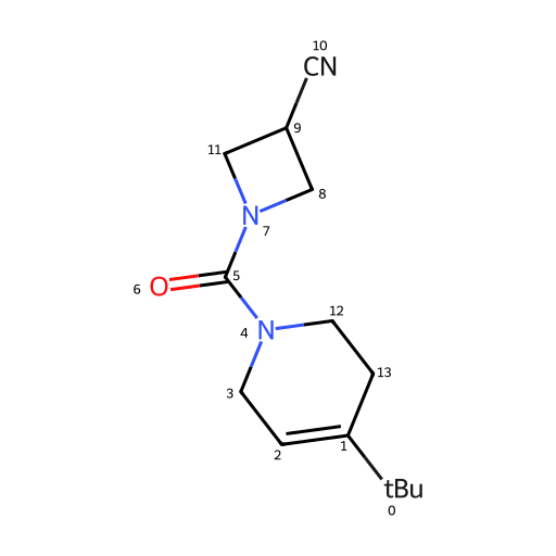 CC(C)(C)C1=CCN(C(=O)N2CC(C#N)C2)CC1